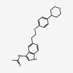 CC(=O)Nc1c[nH]c2ccc(CCOc3ccc(C4CCOCC4)cc3)cc12